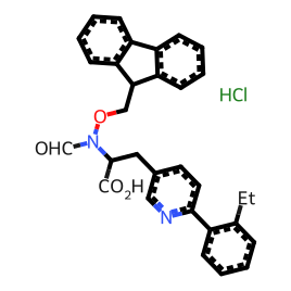 CCc1ccccc1-c1ccc(CC(C(=O)O)N(C=O)OCC2c3ccccc3-c3ccccc32)cn1.Cl